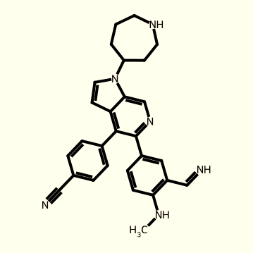 CNc1ccc(-c2ncc3c(ccn3C3CCCNCC3)c2-c2ccc(C#N)cc2)cc1C=N